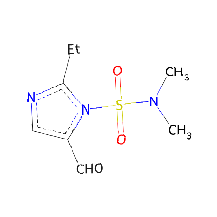 CCc1ncc(C=O)n1S(=O)(=O)N(C)C